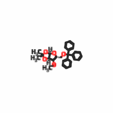 CO[C@H]1[C@H]2OC(C)(C)O[C@H]2O[C@@H]1COC(c1ccccc1)(c1ccccc1)c1ccccc1